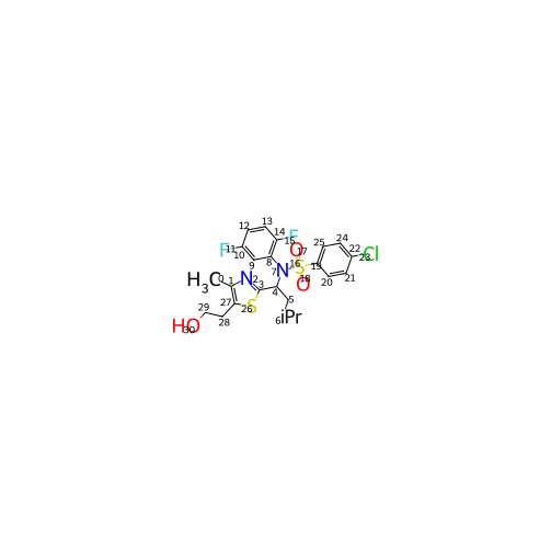 Cc1nc(C(CC(C)C)N(c2cc(F)ccc2F)S(=O)(=O)c2ccc(Cl)cc2)sc1CCO